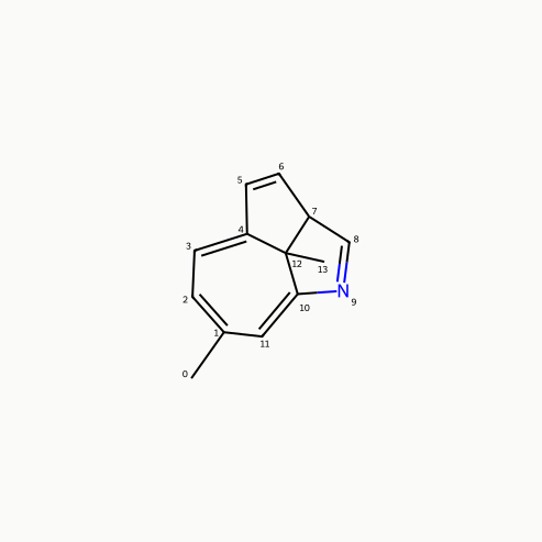 CC1=CC=C2C=CC3C=NC(=C1)C23C